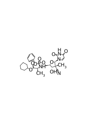 C[C@H](NP(=O)(OC[C@H]1O[C@@H](n2ccc(=O)[nH]c2=O)[C@](C)(C#N)[C@@H]1O)Oc1ccccc1)C(=O)OC1CCCCC1